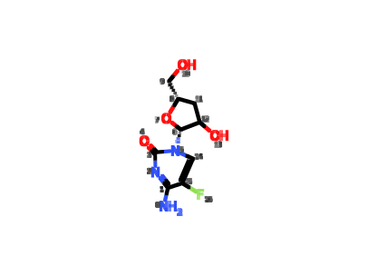 Nc1nc(=O)n([C@@H]2O[C@H](CO)CC2O)cc1F